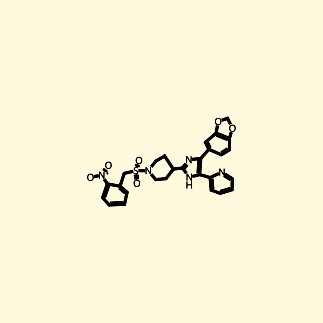 O=[N+]([O-])c1ccccc1CS(=O)(=O)N1CCC(c2nc(-c3ccc4c(c3)OCO4)c(-c3ccccn3)[nH]2)CC1